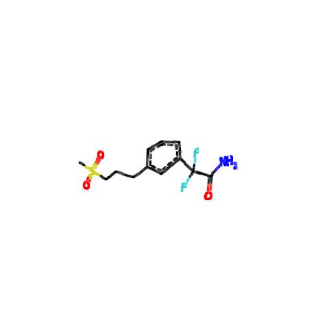 CS(=O)(=O)CCCc1cccc(C(F)(F)C(N)=O)c1